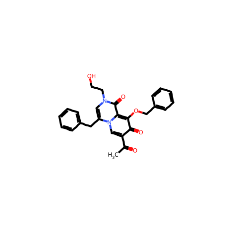 CC(=O)c1cn2c(Cc3ccccc3)cn(CCO)c(=O)c2c(OCc2ccccc2)c1=O